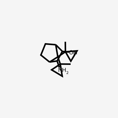 CC1(C2(C3(C)CC3)C3CCC2C(O)C3N)CC1